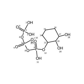 O=P(O)(O)OP(=O)(O)OP(=O)(O)OC1CCCC(O)C1O